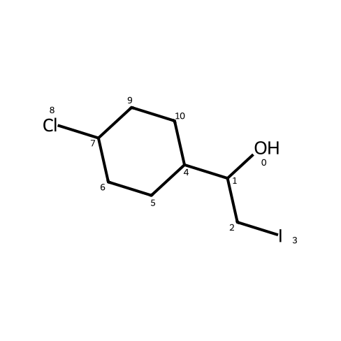 OC(CI)C1CCC(Cl)CC1